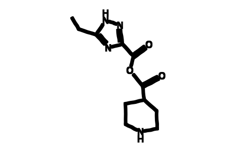 CCc1nc(C(=O)OC(=O)C2CCNCC2)n[nH]1